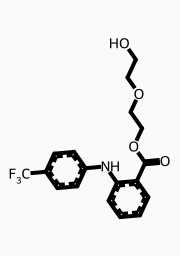 O=C(OCCOCCO)c1ccccc1Nc1ccc(C(F)(F)F)cc1